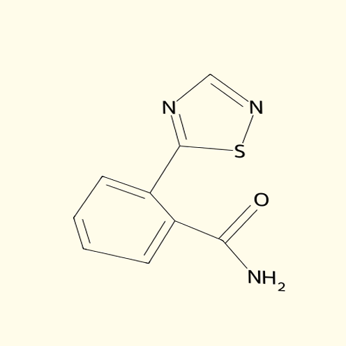 NC(=O)c1ccccc1-c1ncns1